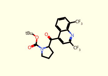 CC(C)(C)OC(=O)N1CCCC1C(=O)c1cc(C(F)(F)F)nc2c(C(F)(F)F)cccc12